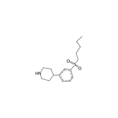 CCCCCS(=O)(=O)c1cccc(C2CCNCC2)c1